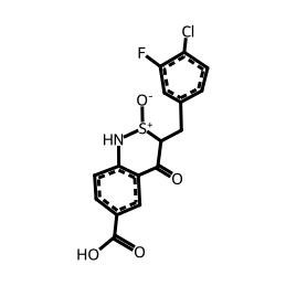 O=C(O)c1ccc2c(c1)C(=O)C(Cc1ccc(Cl)c(F)c1)[S+]([O-])N2